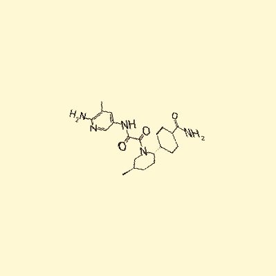 Cc1cc(NC(=O)C(=O)N2C[C@H](C)CC[C@H]2C2CCC(C(N)=O)CC2)cnc1N